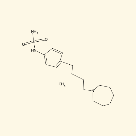 C.NS(=O)(=O)Nc1ccc(CCCCN2CCCCCC2)cc1